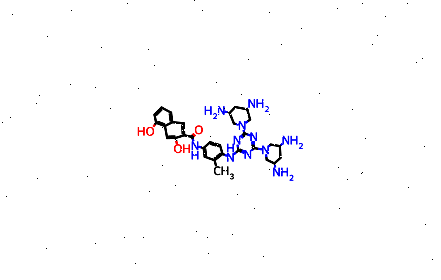 Cc1cc(NC(=O)c2cc3cccc(O)c3cc2O)ccc1Nc1nc(N2C[C@H](N)C[C@H](N)C2)nc(N2C[C@H](N)C[C@H](N)C2)n1